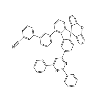 N#Cc1cccc(-c2cccc(-c3cccc4c3-c3cc(-c5cc(-c6ccccc6)nc(-c6ccccc6)n5)ccc3C43c4ccccc4Oc4ccccc43)c2)c1